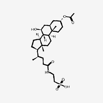 CC(=O)O[C@@H]1CC[C@@]2(C)C(C1)C[C@H](O)[C@H]1[C@@H]3CC[C@H]([C@H](C)CCC(=O)NCCS(=O)(=O)O)[C@@]3(C)CC[C@@H]12